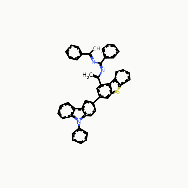 C=C(/N=C(\N=C(/C)c1ccccc1)c1ccccc1)c1cc(-c2ccc3c(c2)c2ccccc2n3-c2ccccc2)cc2sc3ccccc3c12